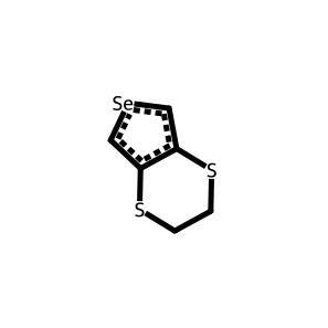 c1[se]cc2c1SCCS2